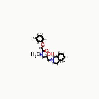 CN(CC(O)CN1CCc2ccccc2C1)C(=O)COc1ccccc1